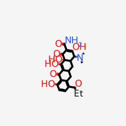 CCC(=O)c1ccc(O)c2c1CC1CC3C(N(C)C)C(O)=C(C(N)=O)C(=O)[C@@]3(O)C(O)=C1C2=O